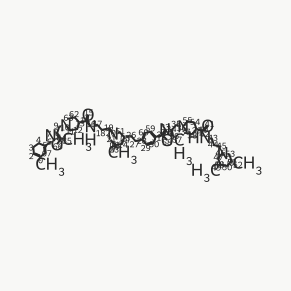 CC1=CCCC(c2nc(CN3CCC(C(=O)NCCCN4C[C@H](C)C[C@H](CCc5ccc(-c6nc(CN7CCC(C(=O)NCCCN8C[C@H](C)C[C@H](C)C8)CC7)c(C)o6)cc5)C4)CC3)c(C)o2)=C1